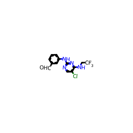 O=Cc1cccc(Nc2ncc(Cl)c(NCC(F)(F)F)n2)c1